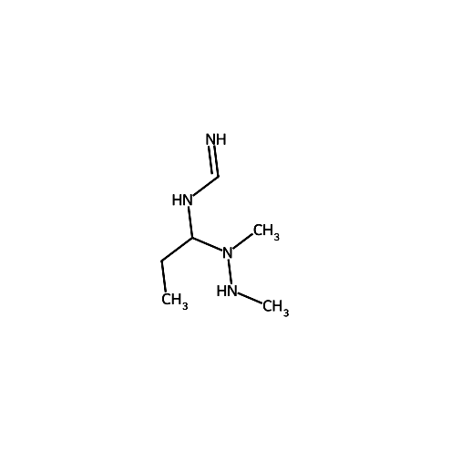 CCC(NC=N)N(C)NC